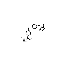 CC(C)(C)C1CCN(C(=O)C2CCC(CN3C(=O)C=CC3=O)CC2)CC1